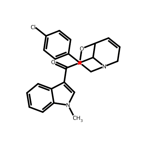 Cn1cc(C(=O)N2CN3CC=CC(O2)C3Cc2ccc(Cl)cc2)c2ccccc21